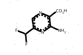 Nc1nc(C(F)F)cnc1C(=O)O